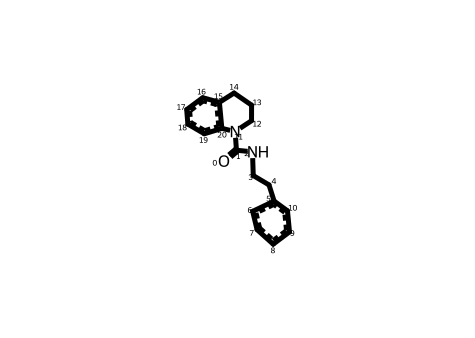 O=C(NCCc1ccccc1)N1CCCc2ccccc21